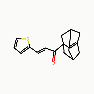 O=C(/C=C/c1cccs1)C12C=C3CC(CC(C3)C1)C2